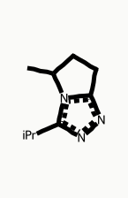 CC(C)c1nnc2n1C(C)CC2